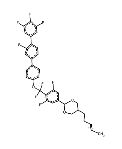 C/C=C/CCC1COC(c2cc(F)c(C(F)(F)Oc3ccc(-c4ccc(-c5cc(F)c(F)c(F)c5)c(F)c4)cc3)c(F)c2)OC1